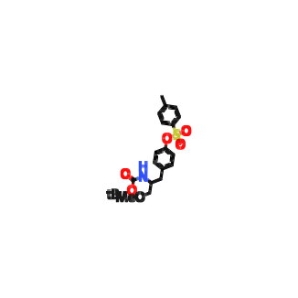 COCC(Cc1ccc(OS(=O)(=O)c2ccc(C)cc2)cc1)NC(=O)OC(C)(C)C